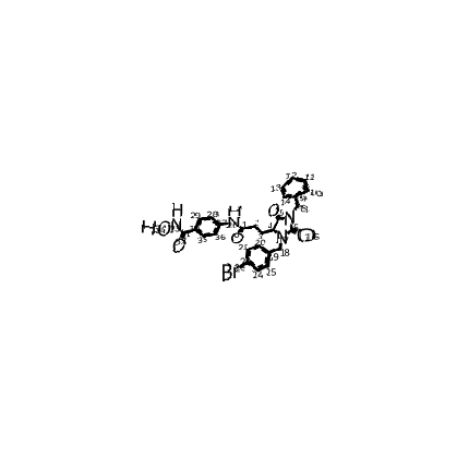 O=C(CCC1C(=O)N(Cc2ccccc2)C(=O)N1Cc1ccc(Br)cc1)Nc1ccc(C(=O)NO)cc1